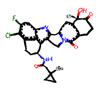 CC[C@@]1(O)C(=O)CCc2c1cc1n(c2=O)Cc2c-1nc1cc(F)c(Cl)c3c1c2[C@@H](NC(=O)C1(C(C)(C)C)CC1)CC3